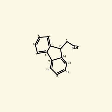 BrCC1c2ccccc2-c2ccccc21